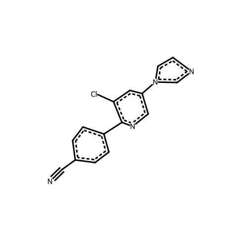 N#Cc1ccc(-c2ncc(-n3ccnc3)cc2Cl)cc1